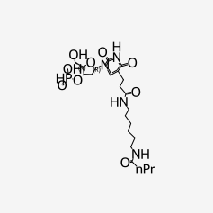 CCCC(=O)NCCCCCCNC(=O)CCc1cn([C@H]2CC(O[PH](=O)O)[C@@H](CO)O2)c(=O)[nH]c1=O